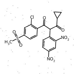 CS(=O)(=O)c1ccc(C(=O)C(C(=O)C2CC2)c2ccc([N+](=O)[O-])cc2[N+](=O)[O-])c(Cl)c1